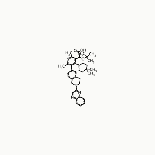 Cc1nc(C)c(C(OC(C)(C)C)C(=O)O)c(N2CCC(C)(C)CC2)c1-c1ccc2c(c1)CCN(c1cnc3ccccc3n1)C2